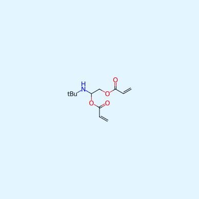 C=CC(=O)OCC(NC(C)(C)C)OC(=O)C=C